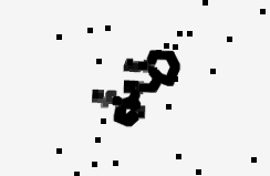 CC(=O)N1CCCCC1CNc1nccn1C